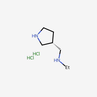 CCNC[C@H]1CCNC1.Cl.Cl